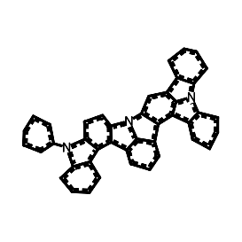 c1ccc(-n2c3ccccc3c3c4c5cccc6c7c8c9ccccc9n9c%10ccccc%10c(cc7n(c4ccc32)c56)c89)cc1